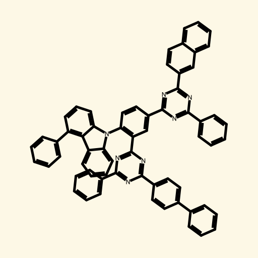 c1ccc(-c2ccc(-c3nc(-c4ccccc4)nc(-c4cc(-c5nc(-c6ccccc6)nc(-c6ccc7ccccc7c6)n5)ccc4-n4c5ccccc5c5c(-c6ccccc6)cccc54)n3)cc2)cc1